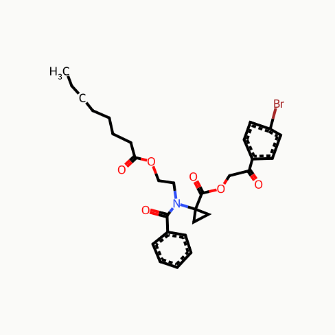 CCCCCCCC(=O)OCCN(C(=O)c1ccccc1)C1(C(=O)OCC(=O)c2ccc(Br)cc2)CC1